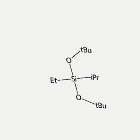 CC[Si](OC(C)(C)C)(OC(C)(C)C)C(C)C